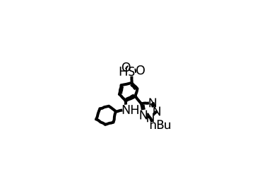 CCCCn1nnc(-c2cc([SH](=O)=O)ccc2NC2CCCCC2)n1